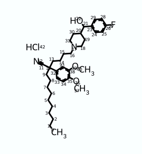 CCCCCCCCCCC(C#N)(CCCCN1CCC(C(O)c2ccc(F)cc2)CC1)c1ccc(OC)c(OC)c1.Cl